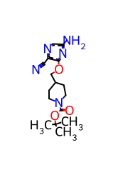 CC(C)(C)OC(=O)N1CCC(COc2nc(N)cnc2C#N)CC1